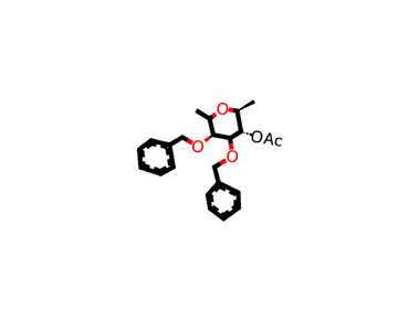 CC(=O)O[C@@H]1C(OCc2ccccc2)[C@@H](OCc2ccccc2)C(C)O[C@H]1C